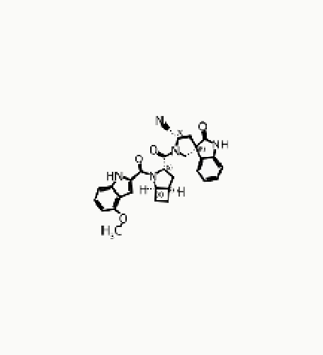 COc1cccc2[nH]c(C(=O)N3[C@@H]4CC[C@@H]4C[C@H]3C(=O)N3C[C@]4(C[C@H]3C#N)C(=O)Nc3ccccc34)cc12